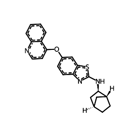 c1ccc2c(Oc3ccc4nc(N[C@@H]5C[C@@H]6CC[C@@H]5C6)sc4c3)ccnc2c1